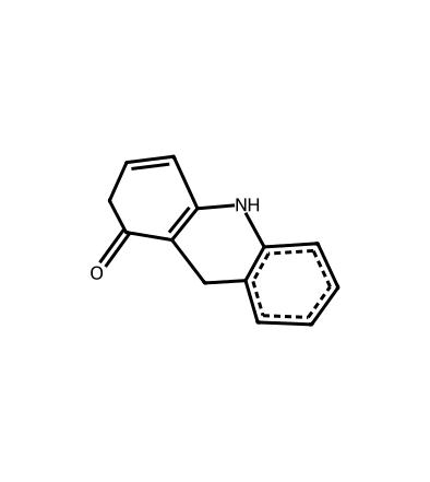 O=C1CC=CC2=C1Cc1ccccc1N2